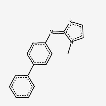 Cn1ccsc1=Nc1ccc(-c2ccccc2)cc1